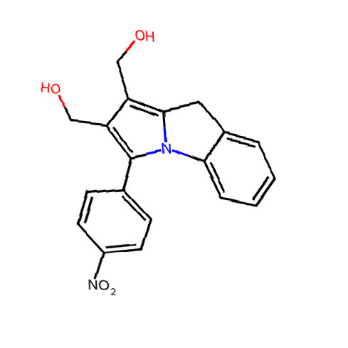 O=[N+]([O-])c1ccc(-c2c(CO)c(CO)c3n2-c2ccccc2C3)cc1